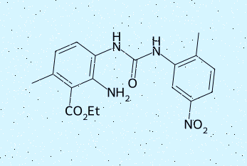 CCOC(=O)c1c(C)ccc(NC(=O)Nc2cc([N+](=O)[O-])ccc2C)c1N